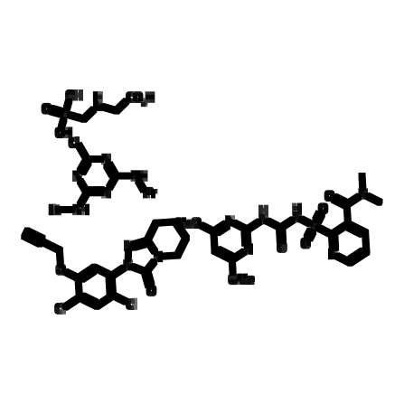 C#CCOc1cc(-n2nc3n(c2=O)CCCC3)c(Cl)cc1Cl.CCNc1nc(Cl)nc(NC(C)C)n1.COc1cc(OC)nc(NC(=O)NS(=O)(=O)c2ncccc2C(=O)N(C)C)n1.O=C(O)CNCP(=O)(O)O